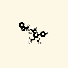 CCOc1c(CC(N)=O)cc([C@@](O)(CNC(=O)c2csc3ccccc23)C(F)(F)F)nc1-c1ccc(F)cc1